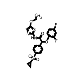 CCOc1[c]nc(NC(=O)C(Oc2ccc(F)cc2F)c2ccc(S(=O)(=O)C3CC3)cc2)s1